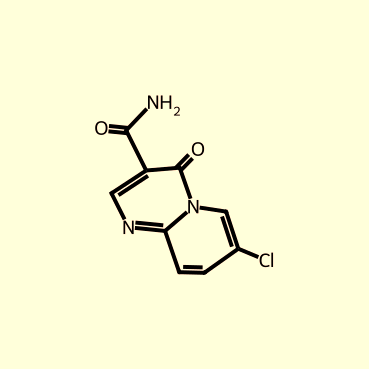 NC(=O)c1cnc2ccc(Cl)cn2c1=O